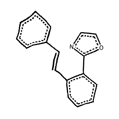 C(=Cc1ccccc1-c1ncco1)c1ccccc1